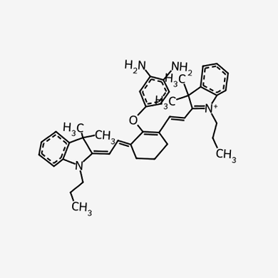 CCCN1/C(=C/C=C2\CCCC(/C=C/C3=[N+](CCC)c4ccccc4C3(C)C)=C2Oc2ccc(N)c(N)c2)C(C)(C)c2ccccc21